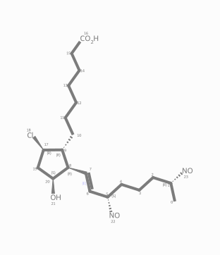 C[C@H](CCC[C@@H](/C=C/[C@@H]1[C@@H](CCCCCCC(=O)O)[C@H](Cl)C[C@@H]1O)N=O)N=O